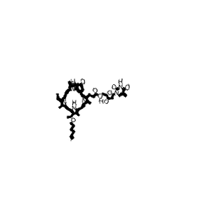 CCCCCCOC(C)c1c(C)c2cc3nc(c4c5[nH]c(cc6nc(cc1[nH]2)C(C)=C6CC)c(C)c5C(=O)C4)C(CCC(=O)OCC1OC(n2cc(C)c(=O)[nH]c2=O)CC1O)C3C